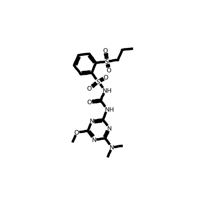 CCCS(=O)(=O)c1ccccc1S(=O)(=O)NC(=O)Nc1nc(OC)nc(N(C)C)n1